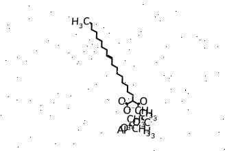 CC(C)[O-].CC(C)[O-].CCCCCCCCC=CCCCCCCCCC(C(C)=O)C(=O)[O-].[Al+3]